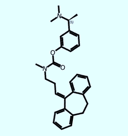 C[C@@H](c1cccc(OC(=O)N(C)CCC=C2c3ccccc3CCc3ccccc32)c1)N(C)C